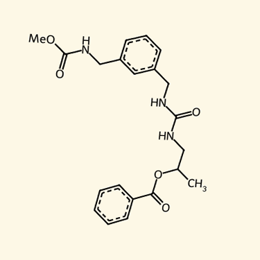 COC(=O)NCc1cccc(CNC(=O)NCC(C)OC(=O)c2ccccc2)c1